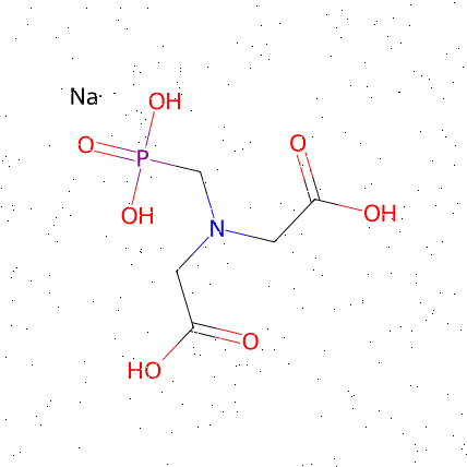 O=C(O)CN(CC(=O)O)CP(=O)(O)O.[Na]